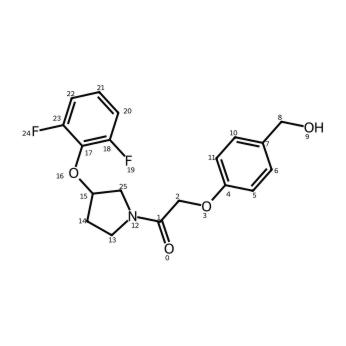 O=C(COc1ccc(CO)cc1)N1CCC(Oc2c(F)cccc2F)C1